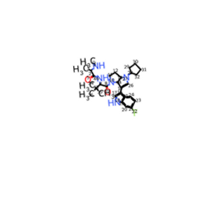 CNC(C)C(=O)NC(C(=O)N1CCC2C1C(c1c[nH]c3cc(F)ccc13)=CN2C1CCCC1)C(C)(C)C